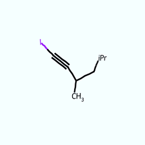 CC(C)CC(C)C#CI